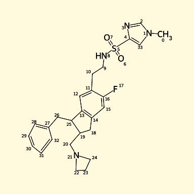 Cn1cnc(S(=O)(=O)NCCc2cc3c(cc2F)CC(CN2CCC2)C3Cc2ccccc2)c1